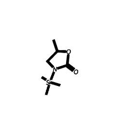 CC1CN([Si](C)(C)C)C(=O)O1